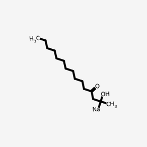 CCCCCCCCCCCC(=O)C[C](C)(O)[Na]